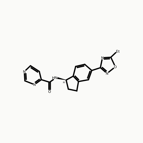 CCc1nc(-c2ccc3c(c2)CC[C@H]3NC(=O)c2ccncn2)no1